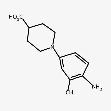 Cc1cc(N2CCC(C(=O)O)CC2)ccc1N